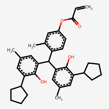 C=CC(=O)Oc1ccc(C(c2cc(C)cc(C3CCCC3)c2O)c2cc(C)cc(C3CCCC3)c2O)c(C)c1